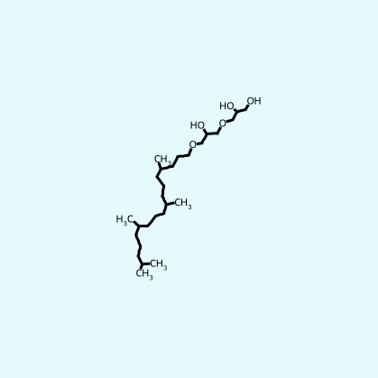 CC(C)CCCC(C)CCCC(C)CCCC(C)CCCOCC(O)COCC(O)CO